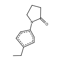 CCc1ccc(N2CCCC2=O)cc1